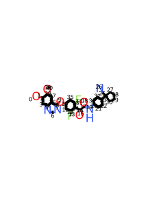 COc1cc2ncnc(Oc3cc(F)c(C(=O)C(=O)Nc4ccc(C5(C#N)CCCC5)cc4)c(F)c3)c2cc1OC